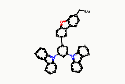 CCC(C)Cc1ccc2c(c1)oc1ccc(-c3cc(-n4c5ccccc5c5ccccc54)cc(-n4c5ccccc5c5ccccc54)c3)cc12